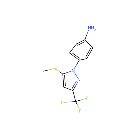 CSc1cc(C(F)(F)F)nn1-c1ccc(N)cc1